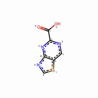 O=C(O)c1ncc2s[c]nc2n1